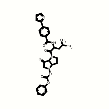 CC(C)CC(NC(=O)c1ccc(-c2cccs2)cc1)C(=O)N1CCC2C1C(=O)CN2OC(=O)Oc1ccccc1